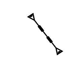 C(C#CC1C=C1)#CC1C=C1